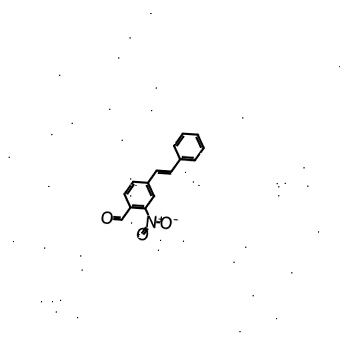 O=Cc1ccc(/C=C/c2ccccc2)cc1[N+](=O)[O-]